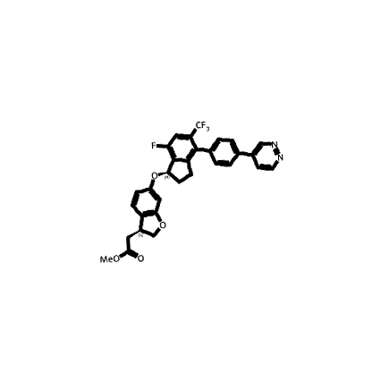 COC(=O)C[C@@H]1COc2cc(O[C@@H]3CCc4c(-c5ccc(-c6ccnnc6)cc5)c(C(F)(F)F)cc(F)c43)ccc21